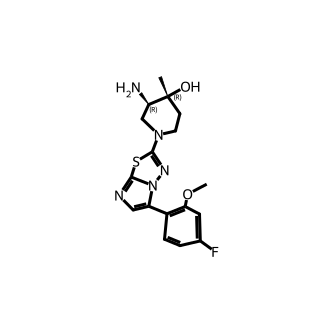 COc1cc(F)ccc1-c1cnc2sc(N3CC[C@@](C)(O)[C@H](N)C3)nn12